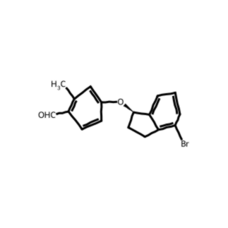 Cc1cc(O[C@@H]2CCc3c(Br)cccc32)ccc1C=O